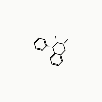 C[C@H]1[C@@H](c2ccccc2)c2ccccc2CN1C